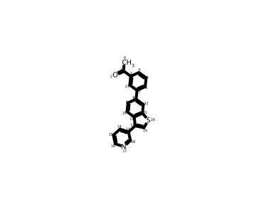 CC(=O)c1cccc(-c2ccc3c(-c4cccnc4)csc3c2)c1